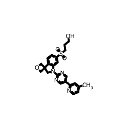 Cc1ccnc(-c2cnc(N3CC4(COC4)c4ccc(S(=O)(=O)CCCO)cc43)nc2)c1